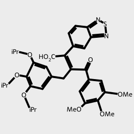 COc1cc(C(=O)C(Cc2cc(OC(C)C)c(OC(C)C)c(OC(C)C)c2)=C(C(=O)O)c2ccc3nsnc3c2)cc(OC)c1OC